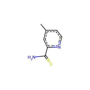 Cc1[c]cnc(C(N)=S)c1